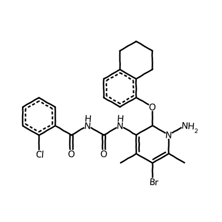 CC1=C(NC(=O)NC(=O)c2ccccc2Cl)C(Oc2cccc3c2CCCC3)N(N)C(C)=C1Br